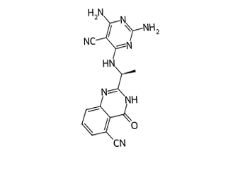 C[C@H](Nc1nc(N)nc(N)c1C#N)c1nc2cccc(C#N)c2c(=O)[nH]1